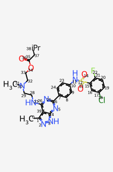 Cc1n[nH]c2nc(-c3ccc(NS(=O)(=O)c4cc(Cl)ccc4F)cc3)nc(NCCN(C)CCOC(=O)CC(C)C)c12